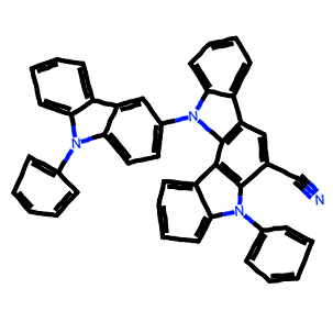 N#Cc1cc2c3ccccc3n(-c3ccc4c(c3)c3ccccc3n4-c3ccccc3)c2c2c3ccccc3n(-c3ccccc3)c12